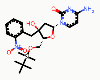 CC(C)(C)[Si](C)(C)OC[C@H]1O[C@@H](n2ccc(N)nc2=O)C[C@@]1(O)Cc1ccccc1[N+](=O)[O-]